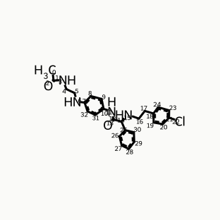 CC(=O)NCCNc1ccc(NC(=O)C(NCCc2ccc(Cl)cc2)c2ccccc2)cc1